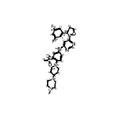 CN1CCN(C2CCN(c3ccc(Nc4cc(N5OCC[C@@H]5c5cc(F)cc(F)c5)ncn4)cc3S(C)(=O)=O)CC2)CC1